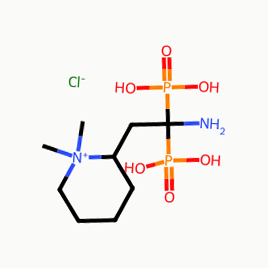 C[N+]1(C)CCCCC1CC(N)(P(=O)(O)O)P(=O)(O)O.[Cl-]